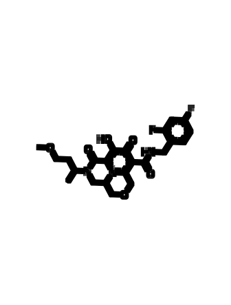 COCCC(C)N1CC2COCc3c(C(=O)NCc4ccc(F)cc4F)c(=O)c(O)c(n32)C1=O